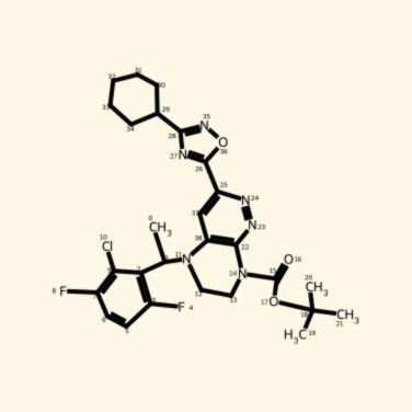 CC(c1c(F)ccc(F)c1Cl)N1CCN(C(=O)OC(C)(C)C)c2nnc(-c3nc(C4CCCCC4)no3)cc21